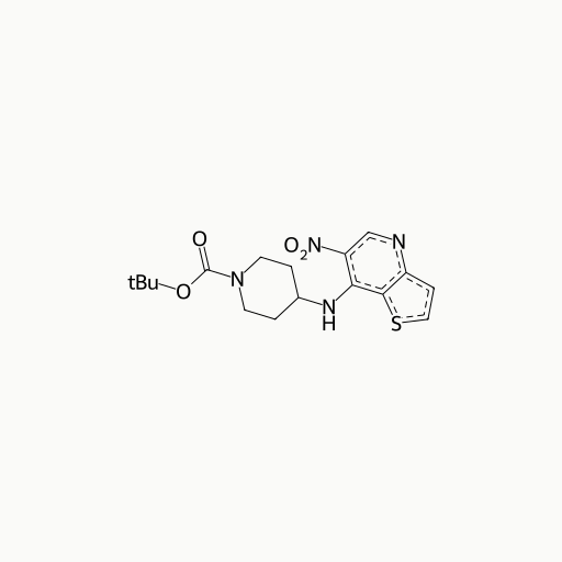 CC(C)(C)OC(=O)N1CCC(Nc2c([N+](=O)[O-])cnc3ccsc23)CC1